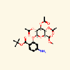 COC(=O)[C@H]1O[C@@H](Oc2cc(N)ccc2C(=O)OC(C)(C)C)[C@H](OC(C)=O)[C@@H](OC(C)=O)[C@@H]1OC(C)=O